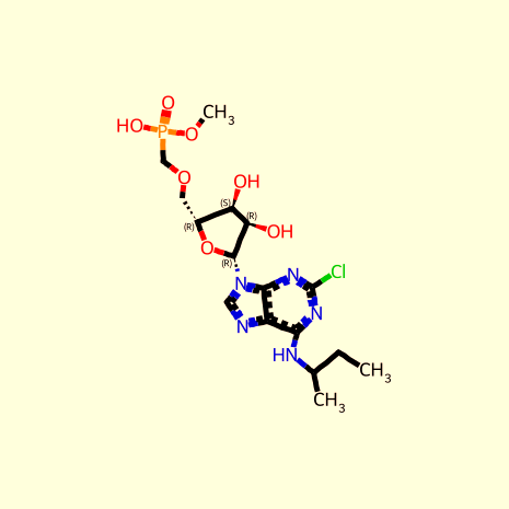 CCC(C)Nc1nc(Cl)nc2c1ncn2[C@@H]1O[C@H](COCP(=O)(O)OC)[C@@H](O)[C@H]1O